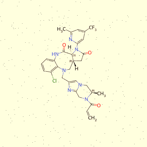 C=CC(=O)N1Cc2nc(CN3C[C@H]4CC(=O)N(c5cc(C(F)(F)F)cc(C)n5)[C@@H]4C(=O)Nc4cccc(Cl)c43)cn2C[C@H]1C